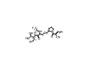 CC(C)C=C(C#N)C(=O)N1CCCC1COCC(NCC(F)(F)F)C(=O)N[C@@H](CC(C)C)B(O)O